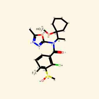 Cc1nnc(N(C(=O)c2ccc(C(F)(F)F)c([S+](C)[O-])c2Cl)C(C)C2(OC(=O)O)CCCCC2)o1